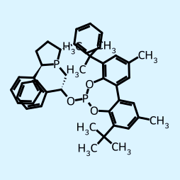 Cc1cc(C(C)(C)C)c2op(O[C@@H](CP3[C@@H](c4ccccc4)CC[C@@H]3c3ccccc3)c3ccccc3)oc3c(C(C)(C)C)cc(C)cc3c2c1